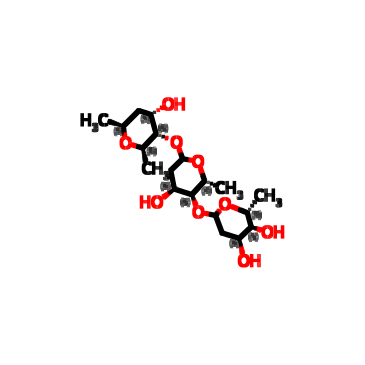 C[C@H]1C[C@H](O)[C@H](OC2C[C@H](O)[C@H](OC3C[C@H](O)[C@H](O)[C@@H](C)O3)[C@@H](C)O2)[C@@H](C)O1